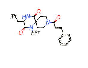 CCCN1C(=O)C(CC(C)C)NC(=O)C12CCN(C(=O)C=Cc1ccccc1)CC2